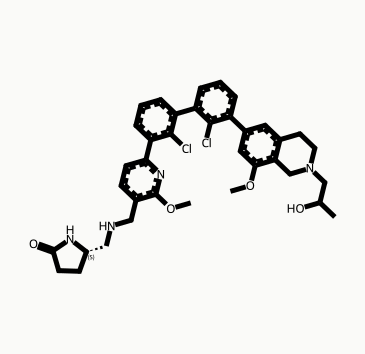 COc1cc(-c2cccc(-c3cccc(-c4ccc(CNC[C@@H]5CCC(=O)N5)c(OC)n4)c3Cl)c2Cl)cc2c1CN(CC(C)O)CC2